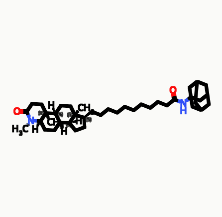 CN1C(=O)CC[C@]2(C)[C@H]3CC[C@]4(C)[C@@H](CCCCCCCCCCC(=O)NC56CC7CC(CC(C7)C5)C6)CC[C@H]4[C@@H]3CC[C@@H]12